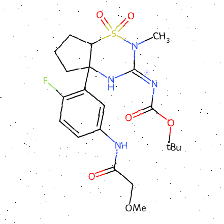 COCC(=O)Nc1ccc(F)c(C23CCCC2S(=O)(=O)N(C)/C(=N/C(=O)OC(C)(C)C)N3)c1